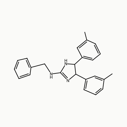 Cc1cccc(C2N=C(NCc3ccccc3)NC2c2cccc(C)c2)c1